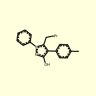 Cc1ccc(-c2c(O)nn(-c3ccccc3)c2CC(C)C)cc1